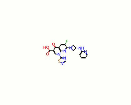 O=C(O)c1cn(-c2ncns2)c2nc(N3CC(Nc4ccccn4)C3)c(F)cc2c1=O